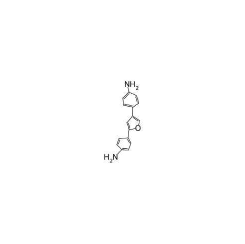 Nc1ccc(-c2coc(-c3ccc(N)cc3)c2)cc1